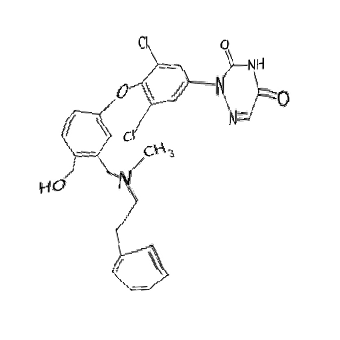 CN(CCc1ccccc1)Cc1cc(Oc2c(Cl)cc(-n3ncc(=O)[nH]c3=O)cc2Cl)ccc1O